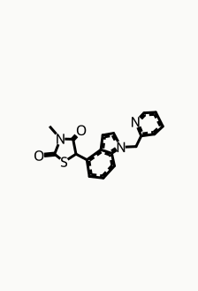 CN1C(=O)SC(c2cccc3c2ccn3Cc2ccccn2)C1=O